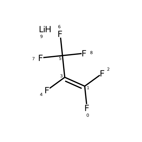 FC(F)=C(F)C(F)(F)F.[LiH]